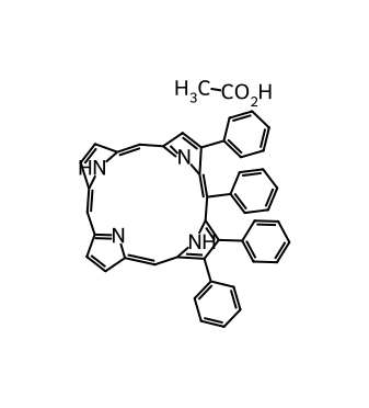 C1=Cc2cc3[nH]c(c(-c4ccccc4)c4nc(cc5ccc(cc1n2)[nH]5)C=C4c1ccccc1)c(-c1ccccc1)c3-c1ccccc1.CC(=O)O